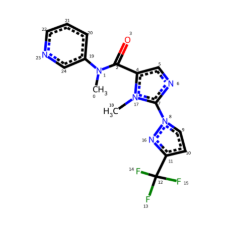 CN(C(=O)c1cnc(-n2ccc(C(F)(F)F)n2)n1C)c1cccnc1